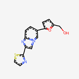 OCc1ccc(-c2ccc3nc(-c4nccs4)cn3c2)o1